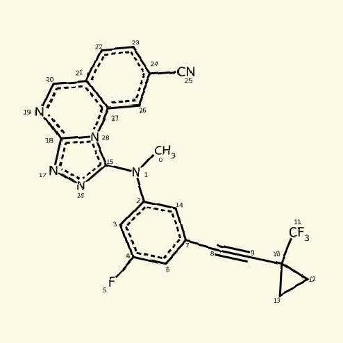 CN(c1cc(F)cc(C#CC2(C(F)(F)F)CC2)c1)c1nnc2ncc3ccc(C#N)cc3n12